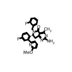 COc1cccc(-c2cc(F)ccc2[C@H]2Cc3nc(N)nc(C)c3C(=O)N2Cc2ccccc2F)n1